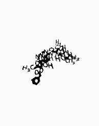 CC[C@H]1O[C@@](C#N)(c2ccc3c(NC(=O)[C@@H](NC(=O)OC(C)(C)C)C(C)C)ncnn23)[C@H](O)[C@@H]1OC(=O)CC1CCCCC1